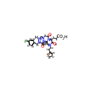 CN1CC(=O)N2[C@@H](CCC(=O)O)C(=O)N(CCC3=CCCS3)C[C@@H]2N1C(=O)NCc1ccc(F)cc1